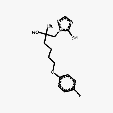 CC(C)(C)C(O)(CCCCOc1ccc(F)cc1)Cn1ncnc1S